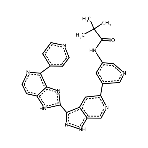 CC(C)(C)C(=O)Nc1cncc(-c2cc3c(-c4nc5c(-c6ccncc6)nccc5[nH]4)n[nH]c3cn2)c1